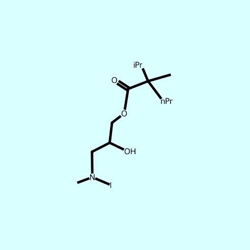 CCCC(C)(C(=O)OCC(O)CN(C)I)C(C)C